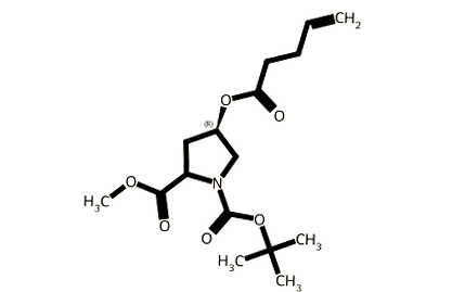 C=CCCC(=O)O[C@@H]1CC(C(=O)OC)N(C(=O)OC(C)(C)C)C1